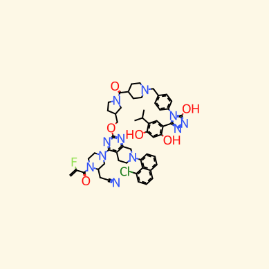 C=C(F)C(=O)N1CCN(c2nc(OCC3CCN(C(=O)C4CCN(Cc5ccc(-n6c(O)nnc6-c6cc(C(C)C)c(O)cc6O)cc5)CC4)C3)nc3c2CCN(c2cccc4cccc(Cl)c24)C3)CC1CC#N